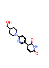 O=C1C=CC(c2ccc(N3CCC(CO)CC3)nc2)C(=O)N1